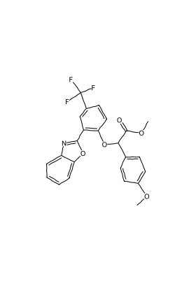 COC(=O)C(Oc1ccc(C(F)(F)F)cc1-c1nc2ccccc2o1)c1ccc(OC)cc1